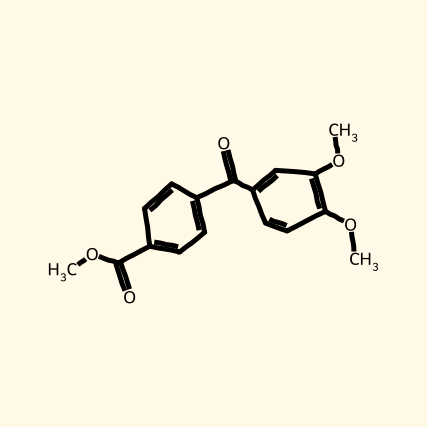 COC(=O)c1ccc(C(=O)c2ccc(OC)c(OC)c2)cc1